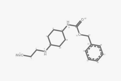 COCCNC1CCC(NC(=O)OCc2ccccc2)CC1